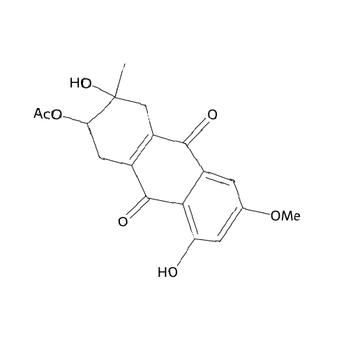 COc1cc(O)c2c(c1)C(=O)C1=C(CC(OC(C)=O)C(C)(O)C1)C2=O